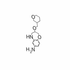 Nc1ccc2c(c1)NCC(OCC1CCCOC1)CO2